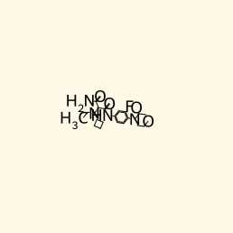 CCN(C1CCC1)[C@@H](C(N)=O)C(=O)Nc1ccc(N2CCOCC2=O)c(F)c1